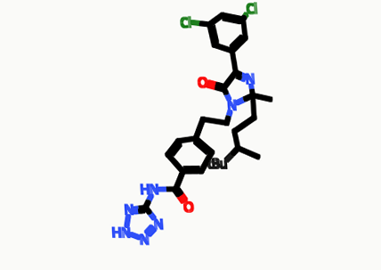 CC(CCC1(C)N=C(c2cc(Cl)cc(Cl)c2)C(=O)N1CCc1ccc(C(=O)Nc2nn[nH]n2)cc1)C(C)(C)C